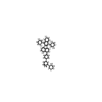 c1ccc(-c2cc(-c3ccc(-c4ccc5c6c(cccc46)-c4c-5c(-c5ccccc5)c5ccccc5c4-c4ccccc4)cc3)ccn2)cc1